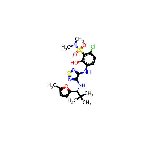 Cc1ccc([C@H](Nc2nsnc2Nc2ccc(Cl)c(S(=O)(=O)N(C)C)c2O)C(C)(C)C)o1